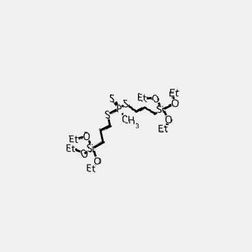 CCO[Si](CCCSP(C)(=S)SCCC[Si](OCC)(OCC)OCC)(OCC)OCC